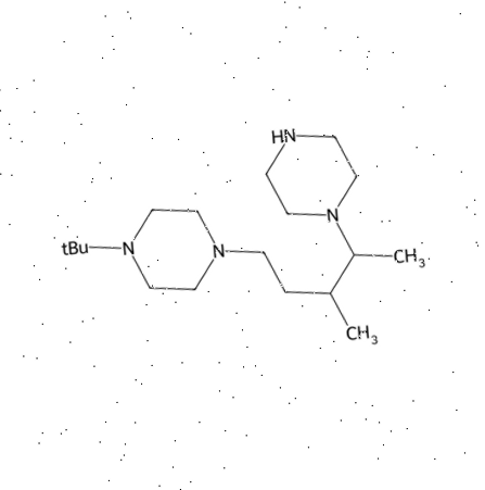 CC(CCN1CCN(C(C)(C)C)CC1)C(C)N1CCNCC1